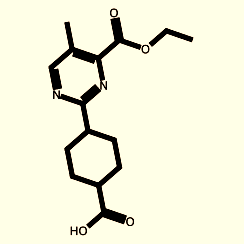 CCOC(=O)c1nc(C2CCC(C(=O)O)CC2)ncc1C